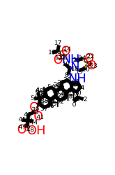 C=C(C)[C@@H]1CC[C@]2(NCC(CNS(=O)(=O)C(C)C)N3CCS(=O)(=O)CC3)CC[C@]3(C)[C@H](CC[C@@H]4[C@@]5(C)CC[C@H](OC(=O)CC(C)(C)C(=O)O)C(C)(C)[C@@H]5CC[C@]43C)[C@@H]12